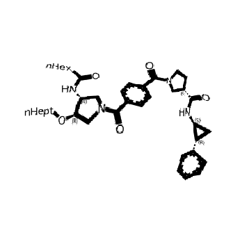 CCCCCCCO[C@@H]1CN(C(=O)c2ccc(C(=O)N3CC[C@H](C(=O)N[C@H]4C[C@@H]4c4ccccc4)C3)cc2)C[C@H]1NC(=O)CCCCCC